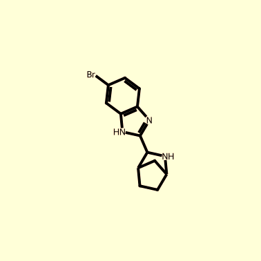 Brc1ccc2nc(C3NC4CCC3C4)[nH]c2c1